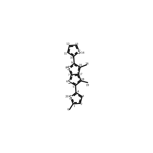 Cc1ccc(-c2sc3sc(-c4cccs4)c(C)c3c2C)s1